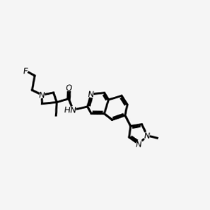 Cn1cc(-c2ccc3cnc(NC(=O)C4(C)CN(CCF)C4)cc3c2)cn1